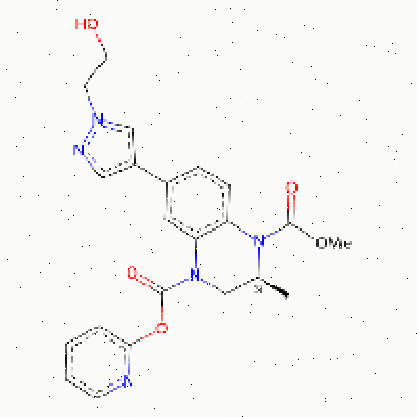 COC(=O)N1c2ccc(-c3cnn(CCO)c3)cc2N(C(=O)Oc2ccccn2)C[C@@H]1C